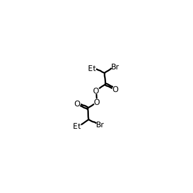 CCC(Br)C(=O)OOC(=O)C(Br)CC